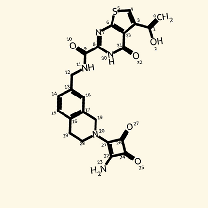 C=C(O)c1csc2nc(C(=O)NCc3ccc4c(c3)CN(c3c(N)c(=O)c3=O)CC4)[nH]c(=O)c12